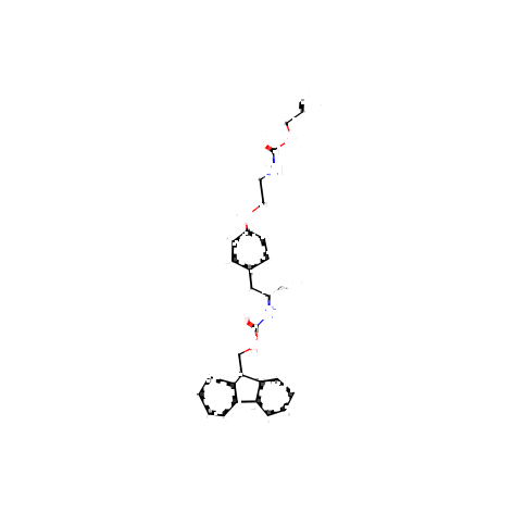 C=CCOC(=O)NCCOc1ccc(C[C@H](NC(=O)OCC2c3ccccc3-c3ccccc32)C(=O)O)cc1